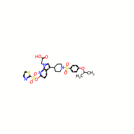 CC(C)Oc1ccc(S(=O)(=O)N2CCC(c3cn(CC(=O)O)c4nc(OS(=O)(=O)c5nccs5)ccc34)CC2)cc1